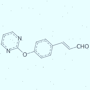 O=CC=Cc1ccc(Oc2ncccn2)cc1